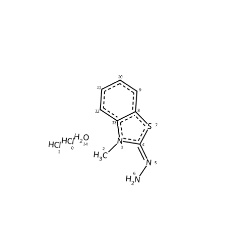 Cl.Cl.Cn1c(=NN)sc2ccccc21.O